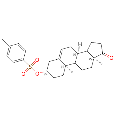 Cc1ccc(S(=O)(=O)O[C@H]2CC[C@@]3(C)C(=CC[C@@H]4C3CC[C@]3(C)C(=O)CCC43)C2)cc1